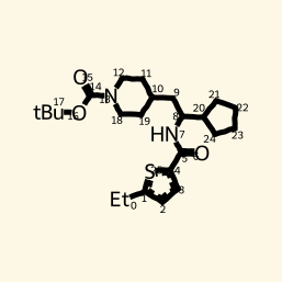 CCc1ccc(C(=O)NC(CC2CCN(C(=O)OC(C)(C)C)CC2)C2CCCC2)s1